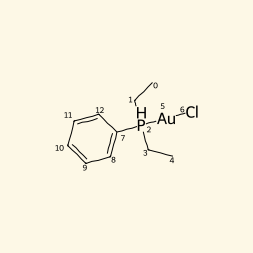 CC[PH](CC)([Au][Cl])c1ccccc1